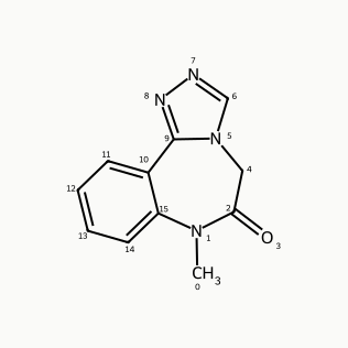 CN1C(=O)Cn2cnnc2-c2ccccc21